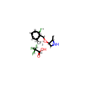 CC1NCC1OCc1c(F)cccc1C(F)(F)F.O=C(O)C(F)(F)F